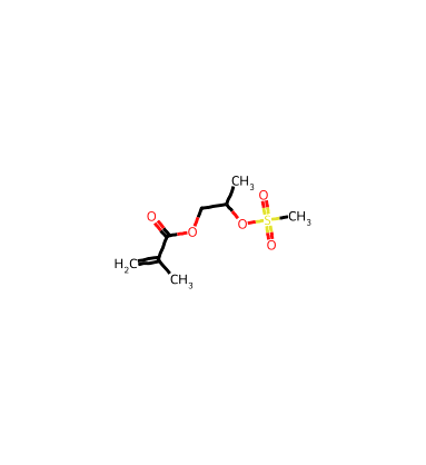 C=C(C)C(=O)OCC(C)OS(C)(=O)=O